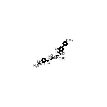 COc1ccc(-c2cc(Cl)c(C(=O)N[C@H](C=O)CNC(=O)CNC(=O)c3cccc(NC(=N)N)c3)c(Cl)c2)cc1